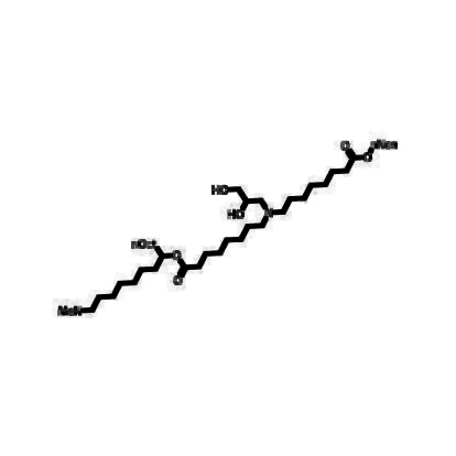 CCCCCCCCCOC(=O)CCCCCCCN(CCCCCCCC(=O)OC(CCCCCCCC)CCCCCCCNC)CC(O)CO